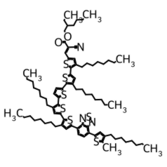 CCCCCCCCc1cc(-c2ccc(-c3cc(CCCCCCCC)c(-c4cc(CCCCCCCC)c(-c5ccc(-c6sc(-c7sc(/C=C(\C#N)C(=O)OCC(CC)CCCC)cc7CCCCCCCC)cc6CCCCCCCC)s5)s4)s3)c3nsnc23)sc1C